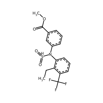 CCc1c(N(c2cccc(C(=O)OC)c2)[SH](=O)=O)cccc1C(F)(F)F